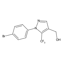 OCc1cnn(-c2ccc(Br)cc2)c1C(F)(F)F